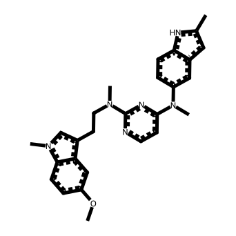 COc1ccc2c(c1)c(CCN(C)c1nccc(N(C)c3ccc4[nH]c(C)cc4c3)n1)cn2C